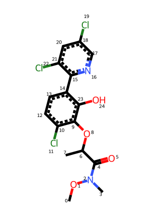 CON(C)C(=O)C(C)Oc1c(Cl)ccc(-c2ncc(Cl)cc2Cl)c1O